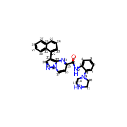 O=C(Nc1ccccc1N1CCNCC1)c1ccn2ncc(-c3cccc4ccccc34)c2n1